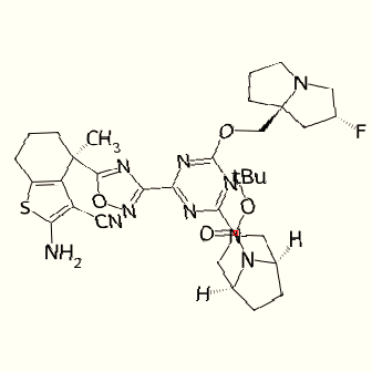 CC(C)(C)OC(=O)N1[C@@H]2CC[C@H]1CN(c1nc(OC[C@@]34CCCN3C[C@H](F)C4)nc(-c3noc([C@]4(C)CCCc5sc(N)c(C#N)c54)n3)n1)C2